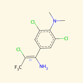 CN(C)c1c(Cl)cc(/C(N)=C(\Cl)C(F)(F)F)cc1Cl